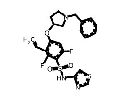 C=Cc1c(OC2CCN(Cc3ccccc3)C2)cc(F)c(S(=O)(=O)Nc2cscn2)c1F